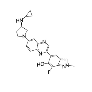 Cn1cc2cc(-c3cnc4cc(N5CC[C@@H](NC6CC6)C5)ccc4n3)c(O)c(F)c2n1